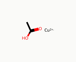 CC(=O)O.[Cu+2]